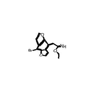 CCOC(=N)Cc1c2ccoc2c(Br)c2ccoc12